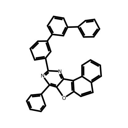 c1ccc(-c2cccc(-c3cccc(-c4nc(-c5ccccc5)c5oc6ccc7ccccc7c6c5n4)c3)c2)cc1